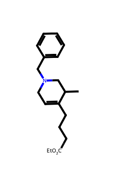 CCOC(=O)CCCC1=CCN(Cc2ccccc2)CC1C